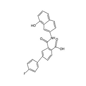 O=C(O)c1ccc(-c2ccc(F)cc2)cc1C(=O)Nc1ccc2cccc(O)c2c1